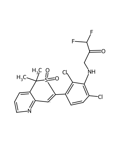 CC1(C)c2cccnc2[C]=C(c2ccc(Cl)c(NCC(=O)C(F)F)c2Cl)S1(=O)=O